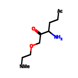 CNCCOCC(=O)C(N)CCC(C)=O